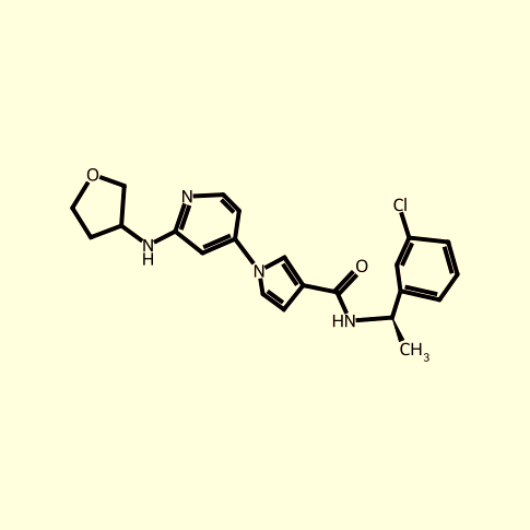 C[C@@H](NC(=O)c1ccn(-c2ccnc(NC3CCOC3)c2)c1)c1cccc(Cl)c1